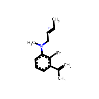 C=C(C)c1cccc(N(C)C/C=C/C)c1C(C)C